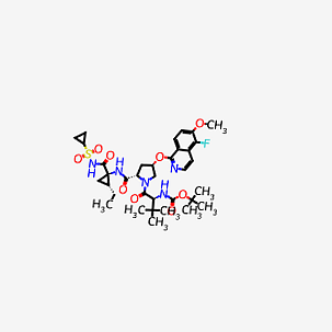 CC[C@@H]1C[C@]1(NC(=O)[C@@H]1C[C@@H](Oc2nccc3c(F)c(OC)ccc23)CN1C(=O)[C@@H](NC(=O)OC(C)(C)C)C(C)(C)C)C(=O)NS(=O)(=O)C1CC1